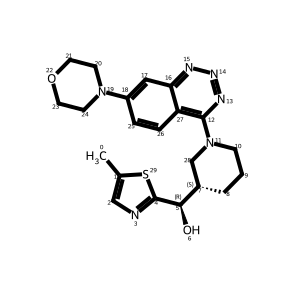 Cc1cnc([C@H](O)[C@H]2CCCN(c3nnnc4cc(N5CCOCC5)ccc34)C2)s1